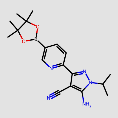 CC(C)n1nc(-c2ccc(B3OC(C)(C)C(C)(C)O3)cn2)c(C#N)c1N